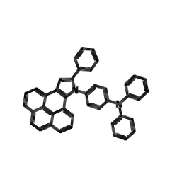 c1ccc(-c2cc3c4cccc5ccc6cccc(c6c54)c3n2-c2ccc(N(c3ccccc3)c3ccccc3)cc2)cc1